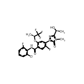 C[C@H](O)c1nn(-c2cc(O[C@@H](C)C(F)(F)F)c(C(=O)Nc3c(F)cccc3Cl)cc2F)c(=O)n1C